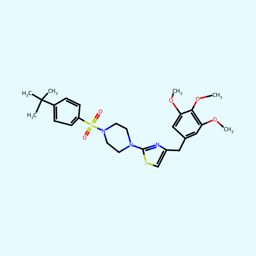 COc1cc(Cc2csc(N3CCN(S(=O)(=O)c4ccc(C(C)(C)C)cc4)CC3)n2)cc(OC)c1OC